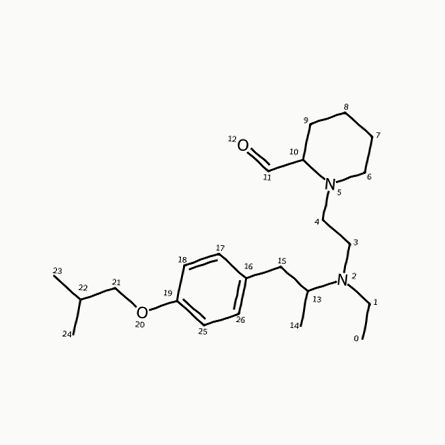 CCN(CCN1CCCCC1C=O)C(C)Cc1ccc(OCC(C)C)cc1